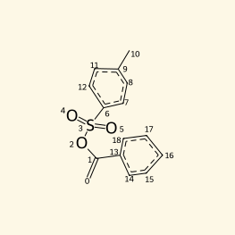 C=C(OS(=O)(=O)c1ccc(C)cc1)c1ccccc1